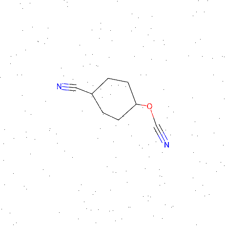 N#COC1CCC(C#N)CC1